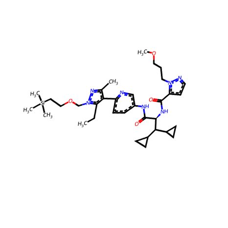 CCc1c(-c2ccc(NC(=O)[C@@H](NC(=O)c3ccnn3CCCOC)C(C3CC3)C3CC3)cn2)c(C)nn1COCC[Si](C)(C)C